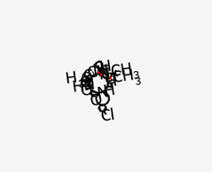 CC(C)CO[C@@]1(CN2CCN3CCCC[C@@H]3C2)/C=C/C[C@H](C)[C@@H](C)S(=O)(=O)NC(=O)c2ccc3c(c2)N(CCCCc2cc(Cl)ccc2CO3)C[C@@H]2CC[C@H]21